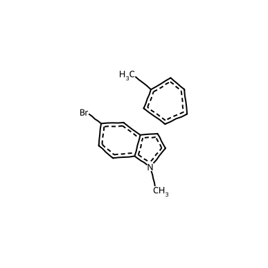 Cc1ccccc1.Cn1ccc2cc(Br)ccc21